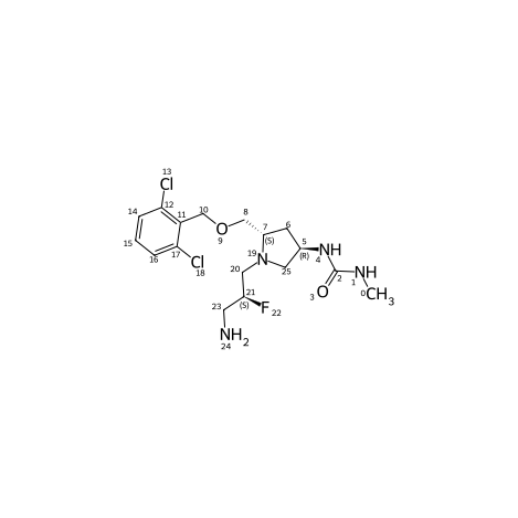 CNC(=O)N[C@@H]1C[C@@H](COCc2c(Cl)cccc2Cl)N(C[C@@H](F)CN)C1